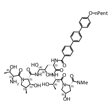 CCCCCOc1ccc(-c2ccc(-c3ccc(C(=O)N[C@@H](C[C@@H](O)[C@@H](O)NC(=O)[C@@H]4[C@@H](O)[C@@H](C)CN4C(=O)[C@@H](N)[C@@H](C)O)C(=O)N[C@H](C(=O)N4C[C@H](O)C[C@H]4C(=O)NC)[C@@H](C)O)cc3)cc2)cc1